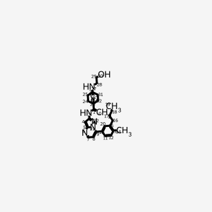 C=C(Nc1cc2nccc(-c3ccc(C)c(CCCC)c3)n2n1)C12CCC(NCCO)(CC1)CC2